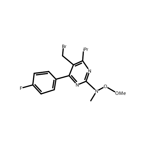 COON(C)c1nc(-c2ccc(F)cc2)c(CBr)c(C(C)C)n1